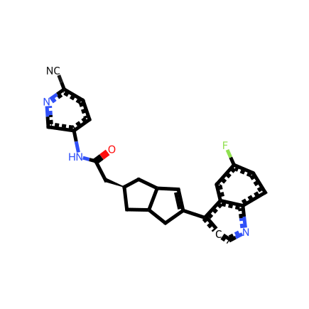 N#Cc1ccc(NC(=O)C[C@H]2CC3C=C(c4ccnc5ccc(F)cc45)CC3C2)cn1